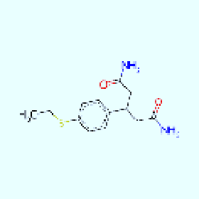 CCSc1ccc(C(CC(N)=O)CC(N)=O)cc1